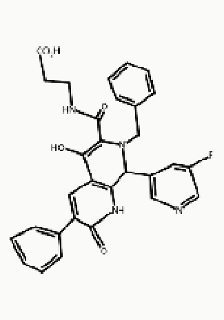 O=C(O)CCNC(=O)C1=C(O)c2cc(-c3ccccc3)c(=O)[nH]c2C(c2cncc(F)c2)N1Cc1ccccc1